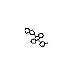 Brc1cccc(-c2c3ccccc3c(-c3ccc4ccccc4c3)c3ccccc23)n1